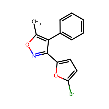 Cc1onc(-c2ccc(Br)o2)c1-c1ccccc1